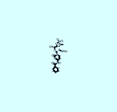 CC[C@@H](CO[P@](=O)(Cl)N(C)C)O[C@H](CNC)n1ccc(NC(=O)c2ccccc2)nc1=O